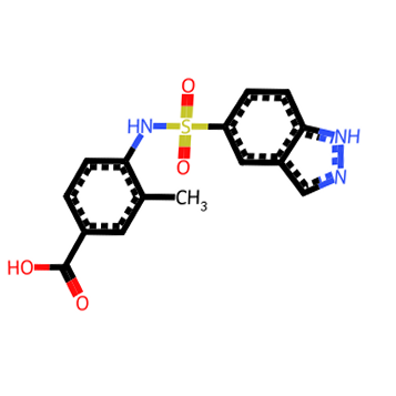 Cc1cc(C(=O)O)ccc1NS(=O)(=O)c1ccc2[nH]ncc2c1